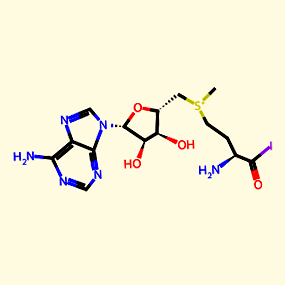 C[S+](CC[C@H](N)C(=O)I)C[C@H]1O[C@@H](n2cnc3c(N)ncnc32)[C@H](O)[C@@H]1O